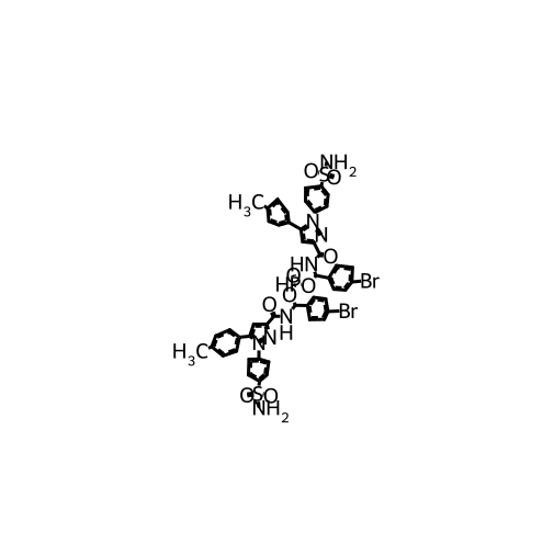 Cc1ccc(-c2cc(C(=O)NC(O[PH](=O)OC(NC(=O)c3cc(-c4ccc(C)cc4)n(-c4ccc(S(N)(=O)=O)cc4)n3)c3ccc(Br)cc3)c3ccc(Br)cc3)nn2-c2ccc(S(N)(=O)=O)cc2)cc1